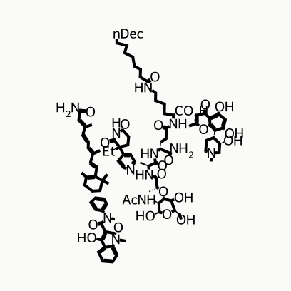 CC1=C(/C=C/C(C)=C/C=C/C(C)=C/C(N)=O)C(C)(C)CCC1.CCC1(c2ccncc2)CCC(=O)NC1=O.CCCCCCCCCCCCCCCCCC(=O)NCCCC[C@H](NC(=O)CC[C@@H](NC(=O)[C@H](C)NC(=O)[C@@H](C)O[C@H]1C(O)[C@@H](CO)O[C@@H](O)[C@@H]1NC(C)=O)C(N)=O)C(=O)O.CN(C(=O)c1c(O)c2ccccc2n(C)c1=O)c1ccccc1.Cc1cc(=O)c2c(O)cc(O)c([C@H]3CCN(C)C[C@H]3O)c2o1